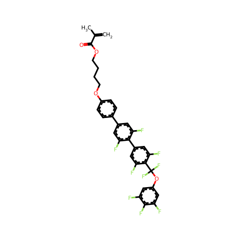 C=C(C)C(=O)OCCCCOc1ccc(-c2cc(F)c(-c3cc(F)c(C(F)(F)Oc4cc(F)c(F)c(F)c4)c(F)c3)c(F)c2)cc1